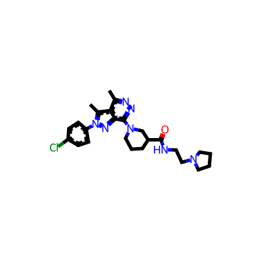 Cc1nnc(N2CCCC(C(=O)NCCN3CCCC3)C2)c2nn(-c3ccc(Cl)cc3)c(C)c12